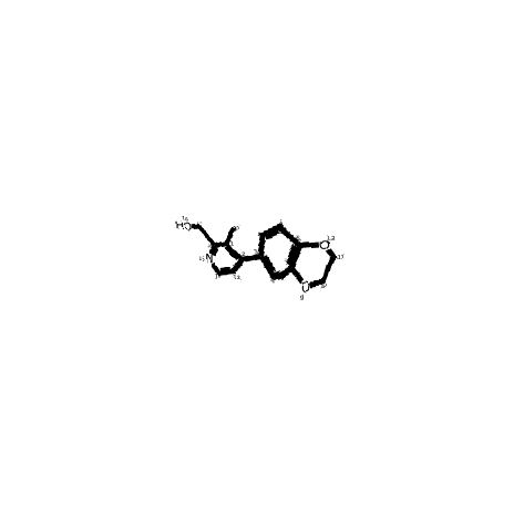 Cc1c(-c2ccc3c(c2)OCCO3)ccnc1CO